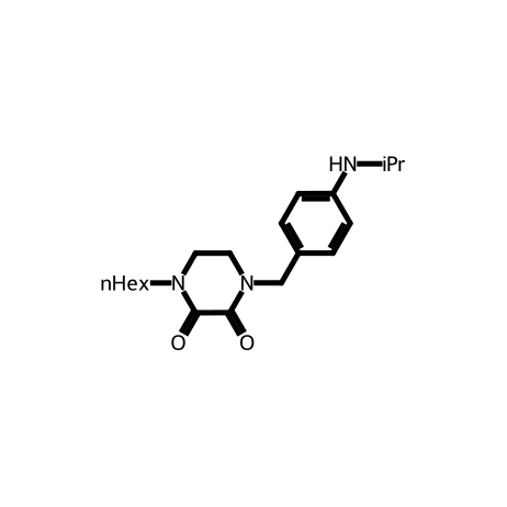 CCCCCCN1CCN(Cc2ccc(NC(C)C)cc2)C(=O)C1=O